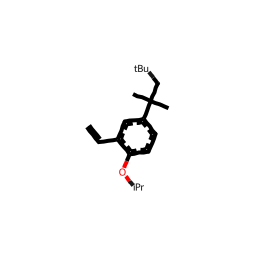 C=Cc1cc(C(C)(C)CC(C)(C)C)ccc1OC(C)C